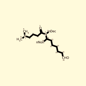 CCCCCCCCCCN(C(=O)CCCN(C)C)C(CCCCCC=O)CCCCCCCCC